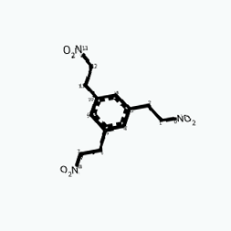 O=[N+]([O-])CCc1cc(CC[N+](=O)[O-])cc(CC[N+](=O)[O-])c1